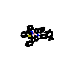 Cc1cc2c(cc1N1c3ccc4c(c3B3c5c(cc6ccccc6c51)-c1cccc5c6c7ccccc7sc6n3c15)C(C)(C)c1ccccc1-4)C(C)(C)CCC2(C)C